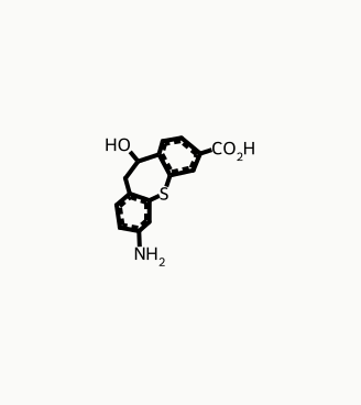 Nc1ccc2c(c1)Sc1cc(C(=O)O)ccc1C(O)C2